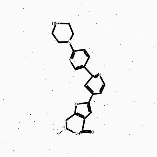 C[C@@H]1Cc2oc(-c3ccnc(-c4ccc(N5CCNCC5)nc4)c3)cc2C(=O)N1